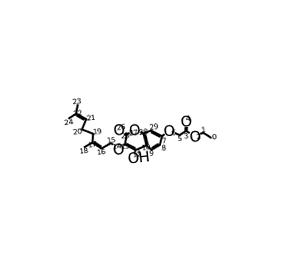 CCOC(=O)COc1ccc2c(O)c(OCC=C(C)CCC=C(C)C)c(=O)oc2c1